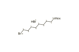 Br.CCCCCCCCCCCCCCBr